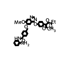 CCNC(=O)c1c(C)oc2cc(Oc3ncnc4cc(OC)c(OCc5ccc(C(=O)Nc6ccccc6N)cc5)cc34)ccc12